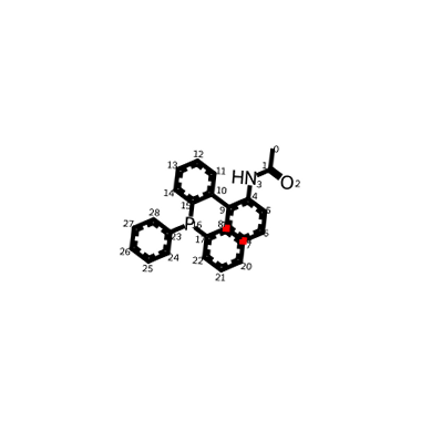 CC(=O)Nc1ccccc1-c1ccccc1P(c1ccccc1)c1ccccc1